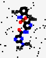 COc1ncc(NC(=O)c2cncc(N(C)C)n2)cc1S(=O)(=O)Nc1c(C)cccc1C